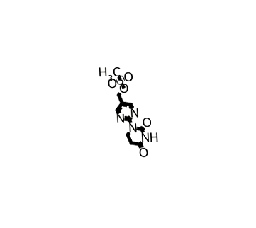 CS(=O)(=O)OCc1cnc(N2CCC(=O)NC2=O)nc1